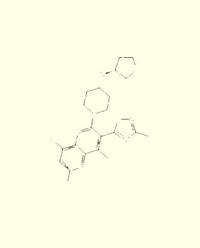 Cc1noc(-c2c(N3CC[C@@H](N[C@H]4CCOC4)C[C@H]3C)nc3c(F)cc(C(F)(F)F)cc3c2C)n1